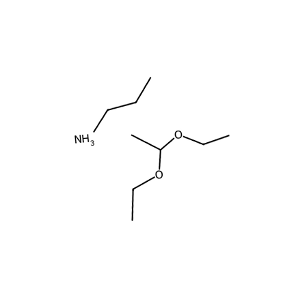 CCCC.CCOC(C)OCC.N